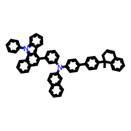 CC1(c2ccc(-c3ccc(N(c4cccc(-c5cc6ccccc6c6c5c5ccccc5n6-c5ccccc5)c4)c4ccc5ccccc5c4)cc3)cc2)CC=Cc2ccccc21